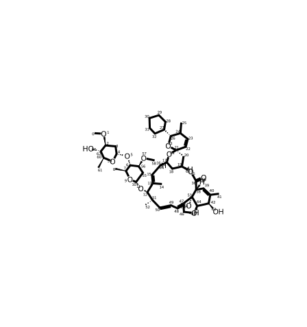 CO[C@H]1C[C@H](O[C@H]2[C@H](C)O[C@@H](O[C@@H]3/C(C)=C/C[C@@H]4C[C@@H](C[C@]5(C=CC(C)[C@@H](C6CCCCC6)O5)O4)OC(=O)[C@@H]4C=C(C)[C@@H](O)[C@H]5OC/C(=C\C=C\[C@@H]3C)[C@]54O)C[C@@H]2OC)O[C@@H](C)[C@@H]1O